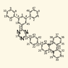 c1ccc(-c2cc(-c3ccccc3)cc(-c3ncnc(-c4ccc(-c5ccc6c7ccccc7c7ccccc7c6c5)cc4)n3)c2)cc1